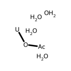 CC(=O)[O][U].O.O.O.O